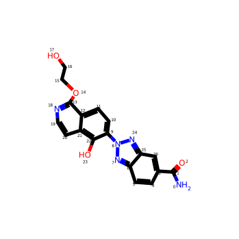 NC(=O)c1ccc2nn(-c3ccc4c(OCCO)nccc4c3O)nc2c1